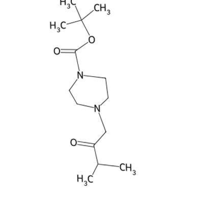 CC(C)C(=O)CN1CCN(C(=O)OC(C)(C)C)CC1